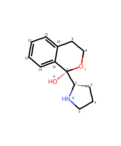 O[C@@]1([C@@H]2CCCN2)OCCc2ccccc21